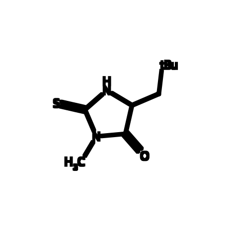 CN1C(=O)C(CC(C)(C)C)NC1=S